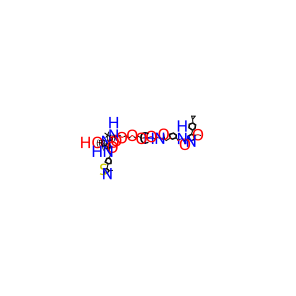 COc1cnc(C(=O)NCc2cccc(CC(=O)NCCOCCOCCOCCOCC(=O)N[C@H](C(=O)N3C[C@H](O)C[C@H]3C(=O)NCc3ccc(-c4scnc4C)cc3)C(C)(C)C)c2)cc1-c1ccc(C2CC2)cc1